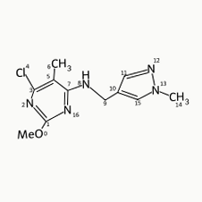 COc1nc(Cl)c(C)c(NCc2cnn(C)c2)n1